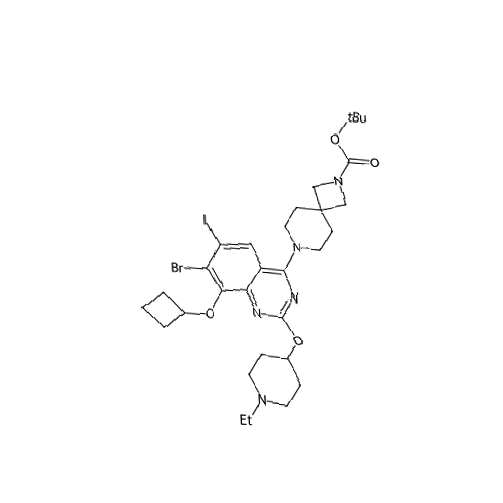 CCN1CCC(Oc2nc(N3CCC4(CC3)CN(C(=O)OC(C)(C)C)C4)c3cc(I)c(Br)c(OC4CCC4)c3n2)CC1